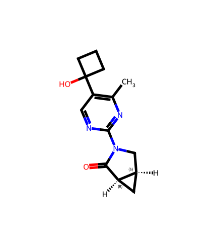 Cc1nc(N2C[C@H]3C[C@H]3C2=O)ncc1C1(O)CCC1